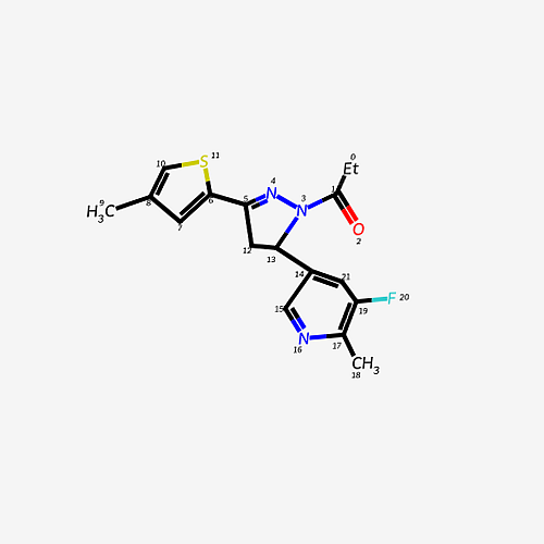 CCC(=O)N1N=C(c2cc(C)cs2)CC1c1cnc(C)c(F)c1